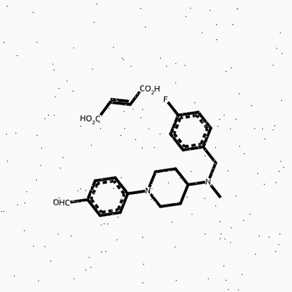 CN(Cc1ccc(F)cc1)C1CCN(c2ccc(C=O)cc2)CC1.O=C(O)C=CC(=O)O